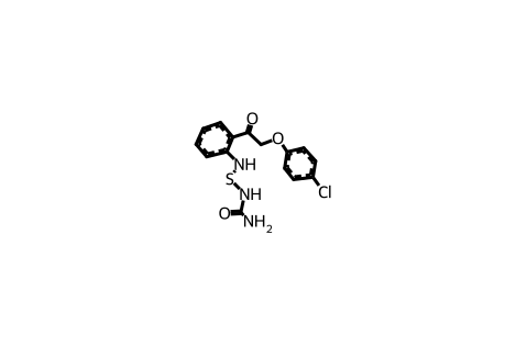 NC(=O)NSNc1ccccc1C(=O)COc1ccc(Cl)cc1